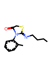 CCCCN=C1SCC(=O)N1c1ccccc1C